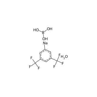 FC(F)(F)c1c[c]([Na])cc(C(F)(F)F)c1.O.OB(O)O